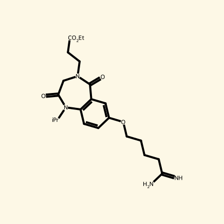 CCOC(=O)CCN1CC(=O)N(C(C)C)c2ccc(OCCCCC(=N)N)cc2C1=O